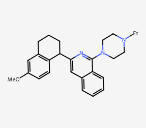 CCN1CCN(c2nc(C3CCCc4cc(OC)ccc43)cc3ccccc23)CC1